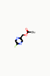 CC(C)(C)C(=O)OCc1cnc(F)cn1